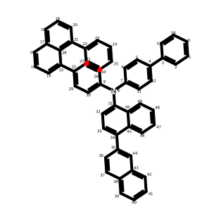 c1ccc(-c2ccc(N(c3ccc(-c4cccc5cccc(-c6ccccc6)c45)cc3)c3ccc(-c4ccc5ccccc5c4)c4ccccc34)cc2)cc1